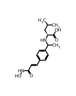 CC(C)C[C@H](NC(C)c1ccc(/C=C/C(=O)NO)cc1)C(=O)O